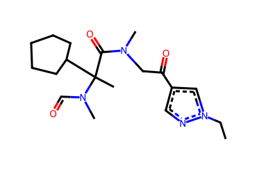 CCn1cc(C(=O)CN(C)C(=O)C(C)(C2CCCCC2)N(C)C=O)cn1